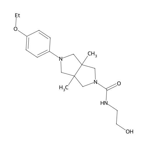 CCOc1ccc(N2CC3(C)CN(C(=O)NCCO)CC3(C)C2)cc1